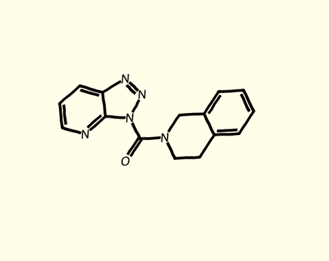 O=C(N1CCc2ccccc2C1)n1nnc2cccnc21